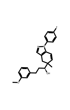 COc1cccc(CC[C@H](O)C2(C)C=Cc3c(cnn3-c3ccc(F)cc3)C2)c1